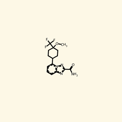 COC1(C(F)(F)F)CCC(c2cccc3nc(C(N)=O)nn23)CC1